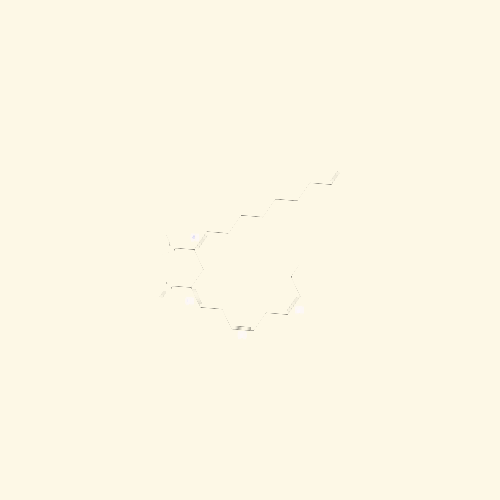 CC/C=C\C/C=C\C/C=C(\C/C(=C\CCCCCC[C]=O)[N+](=O)[O-])[N+](=O)[O-]